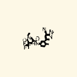 CCn1cc(C(=O)Nc2ccc(C)c(-c3cnc(N(C)C)c(C#N)c3)c2)cc(C(F)(F)F)c1=O